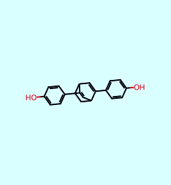 Oc1ccc(C2=CC3CCC2C=C3c2ccc(O)cc2)cc1